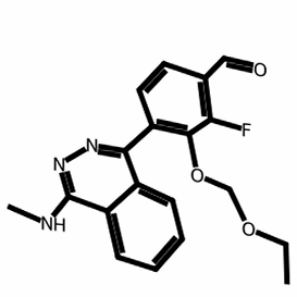 CCOCOc1c(-c2nnc(NC)c3ccccc23)ccc(C=O)c1F